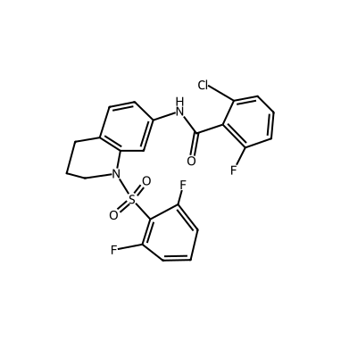 O=C(Nc1ccc2c(c1)N(S(=O)(=O)c1c(F)cccc1F)CCC2)c1c(F)cccc1Cl